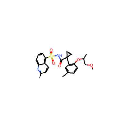 COCC(C)Oc1ccc(C)cc1C1(C(=O)NS(=O)(=O)c2cccc3nc(C)ccc23)CC1